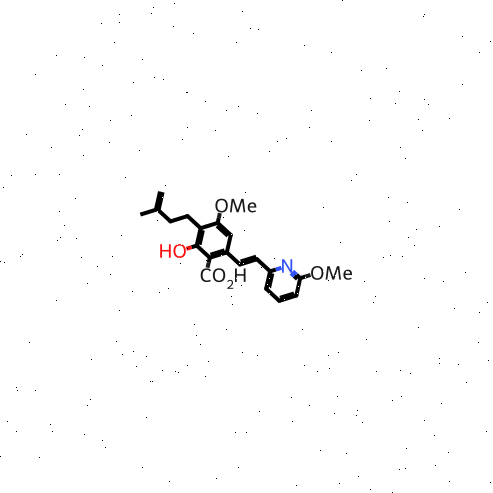 C=C(C)CCc1c(OC)cc(/C=C/c2cccc(OC)n2)c(C(=O)O)c1O